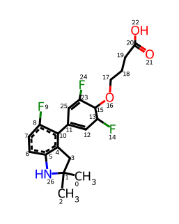 CC1(C)Cc2c(ccc(F)c2C2=CC(F)C(OCCCC(=O)O)C(F)=C2)N1